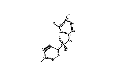 Cc1ccc(S(=O)(=O)Oc2ccc(C)c(C)c2)cc1